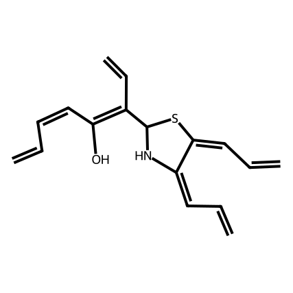 C=C/C=C\C(O)=C(/C=C)C1NC(=C/C=C)/C(=C\C=C)S1